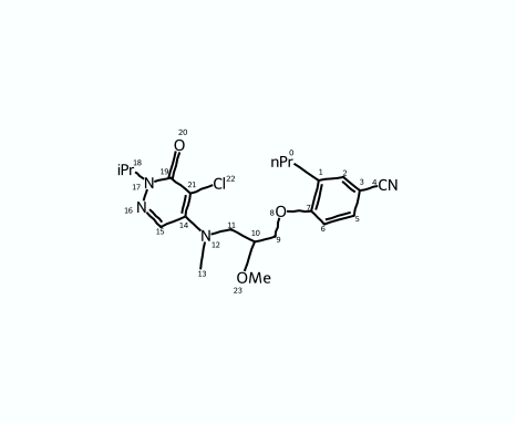 CCCc1cc(C#N)ccc1OCC(CN(C)c1cnn(C(C)C)c(=O)c1Cl)OC